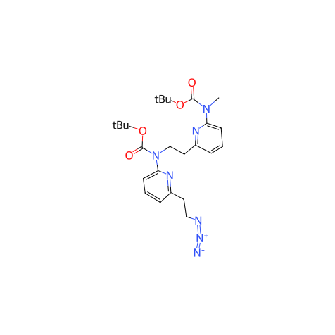 CN(C(=O)OC(C)(C)C)c1cccc(CCN(C(=O)OC(C)(C)C)c2cccc(CCN=[N+]=[N-])n2)n1